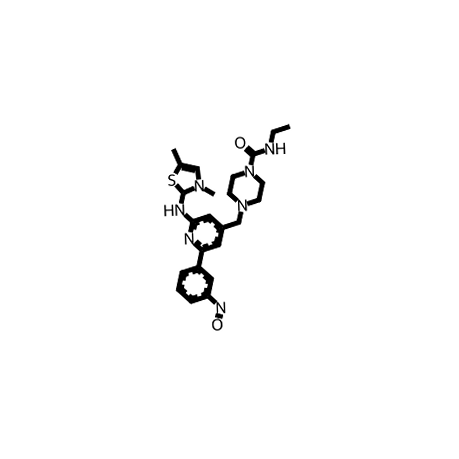 CCNC(=O)N1CCN(Cc2cc(NC3SC(C)=CN3C)nc(-c3cccc(N=O)c3)c2)CC1